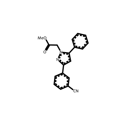 COC(=O)Cn1nc(-c2cccc(C#N)c2)cc1-c1ccccc1